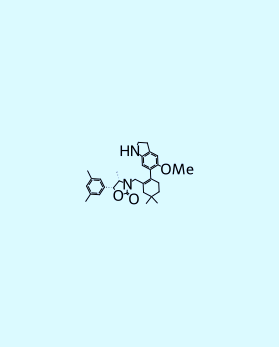 COc1cc2c(cc1C1=C(CN3C(=O)O[C@H](c4cc(C)cc(C)c4)[C@@H]3C)CC(C)(C)CC1)NCC2